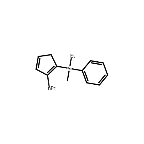 CCCC1=C([Si](C)(CC)c2ccccc2)CC=C1